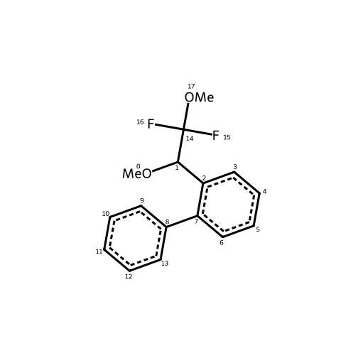 COC(c1ccccc1-c1ccccc1)C(F)(F)OC